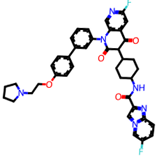 O=C(NC1CCC(C2C(=O)c3cc(F)ncc3N(c3cccc(-c4ccc(OCCN5CCCC5)cc4)c3)C2=O)CC1)c1cn2cc(F)ccc2n1